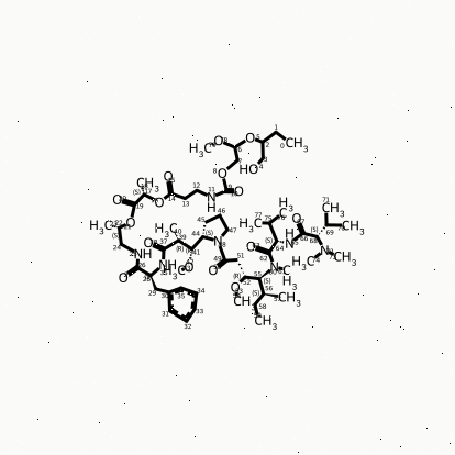 CCC(CO)OC(COC(=O)NCCC(=O)O[C@@H](C)C(=O)O[C@@H](C)CNC(=O)[C@H](Cc1ccccc1)NC(=O)[C@H](C)[C@@H](OC)[C@@H]1CCCN1C(=O)C[C@@H](OC)[C@H]([C@@H](C)CC)N(C)C(=O)[C@@H](NC(=O)[C@H](C(C)C)N(C)C)C(C)C)OC